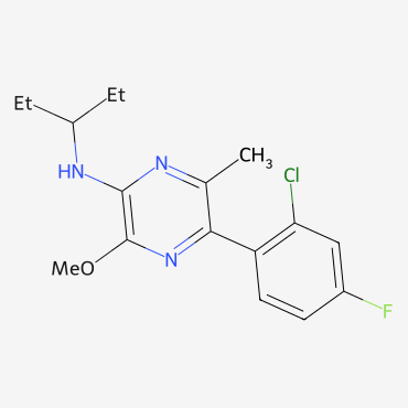 CCC(CC)Nc1nc(C)c(-c2ccc(F)cc2Cl)nc1OC